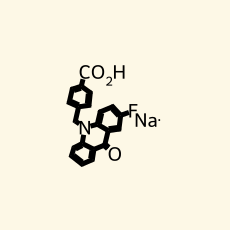 O=C(O)c1ccc(Cn2c3ccccc3c(=O)c3cc(F)ccc32)cc1.[Na]